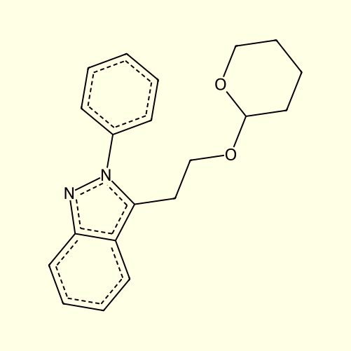 c1ccc(-n2nc3ccccc3c2CCOC2CCCCO2)cc1